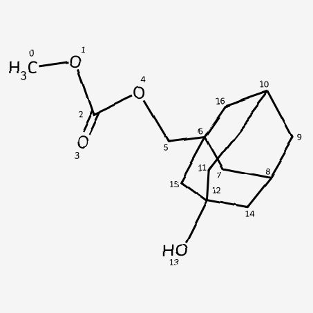 COC(=O)OCC12CC3CC(CC(O)(C3)C1)C2